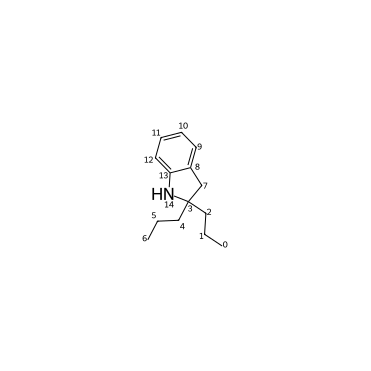 CCCC1(CCC)Cc2ccccc2N1